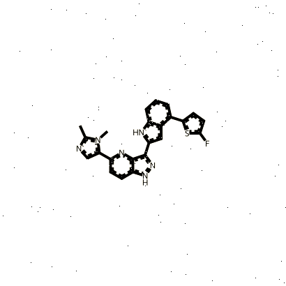 Cc1ncc(-c2ccc3[nH]nc(-c4cc5c(-c6ccc(F)s6)cccc5[nH]4)c3n2)n1C